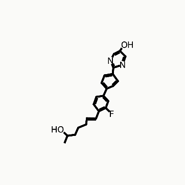 CC(O)CCC/C=C/c1ccc(-c2ccc(-c3ncc(O)cn3)cc2)cc1F